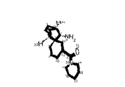 N[C@H]1[C@@H]2CC[C@@H](C2)[C@]12CCCC(C(=O)N1CCCCC1)C2